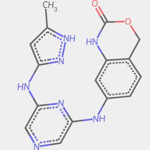 Cc1cc(Nc2cncc(Nc3ccc4c(c3)NC(=O)OC4)n2)n[nH]1